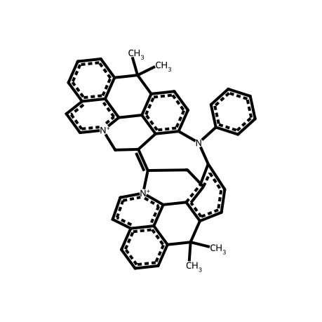 CC1(C)c2ccc3c4c2-c2c5c1cccc5cc[n+]2C/C4=C1/Cc2c(ccc4c2-c2c5c(cccc5cc[n+]21)C4(C)C)N3c1ccccc1